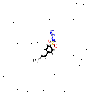 CCCc1ccc(S(=O)(=O)N=[N+]=[N-])cc1